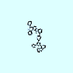 C1=C(c2ccc(-c3cccc4c3oc3c4ccc4c(-c5ccccc5)nc5ccccc5c43)cc2)NC(c2cccc3oc4ccccc4c23)N=C1c1ccccc1